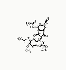 CCOc1nc([C@@H](CS(C)(=O)=O)N2C(=O)c3cc(C#N)cc(NC(C)=O)c3C2=O)ccc1OC